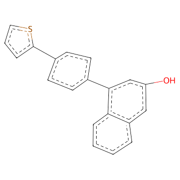 Oc1cc(-c2ccc(-c3cccs3)cc2)c2ccccc2c1